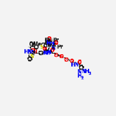 CC[C@H](C)[C@@H]([C@@H](CC(=S)/C=C1\CCC[C@@H]([C@H](OC)[C@@H](C)C(=O)N[C@@H](Cc2ccccc2)C2(NOCc3ccc(NC(=O)[C@@H](C)NC(=O)CCOCCOCCOCCOCCNC(=O)c4ccc(N)c(N)c4)cc3)CS2)C1)OC)N(C)C(=O)[C@@H](NC(=O)[C@H](C(C)C)N(C)C)C(C)C